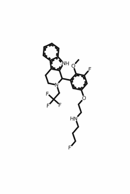 COc1c(F)cc(OCCNCCCF)cc1C1c2[nH]c3ccccc3c2CCN1CC(F)(F)F